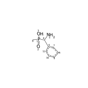 CP(=O)(O)C(N)c1ccccc1